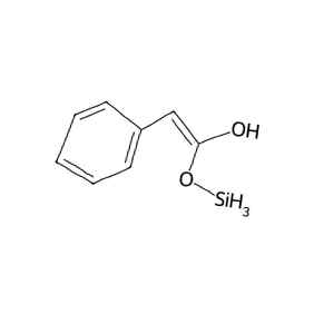 OC(=Cc1ccccc1)O[SiH3]